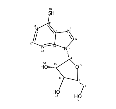 OC[C@H]1O[C@@H](n2cnc3c(S)ncnc32)[C@@H](O)C1O